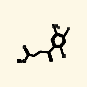 COC(=O)CCC(=O)c1cc(N)c(F)cc1Cl